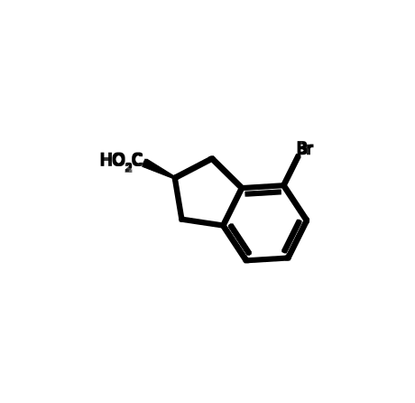 O=C(O)[C@@H]1Cc2cccc(Br)c2C1